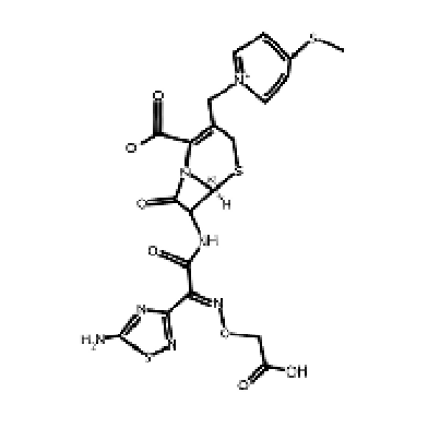 CSc1cc[n+](CC2=C(C(=O)[O-])N3C(=O)C(NC(=O)C(=NOCC(=O)O)c4nsc(N)n4)[C@@H]3SC2)cc1